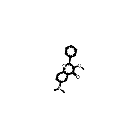 COc1c(-c2ccccc2)oc2ccc(N(C)C)cc2c1=O